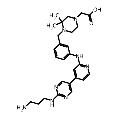 CC1(C)CN(CC(=O)O)CCN1Cc1cccc(Nc2cc(-c3cnc(NCCCN)nc3)ccn2)c1